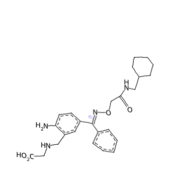 Nc1ccc(/C(=N/OCC(=O)NCC2CCCCC2)c2ccccc2)cc1CNCC(=O)O